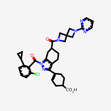 O=C(O)C1CC=C(c2nn(C(=O)c3c(Cl)cccc3C3CC3)c3c2CCC(C(=O)N2CC4(C2)CN(c2ncccn2)C4)C3)CC1